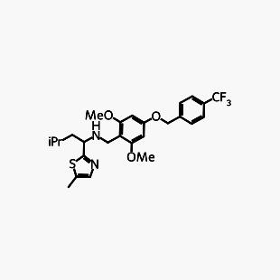 COc1cc(OCc2ccc(C(F)(F)F)cc2)cc(OC)c1CNC(CC(C)C)c1ncc(C)s1